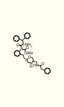 COC(=O)N(C(=O)[C@@H](N)C(c1ccccc1)c1ccccc1)c1ccccc1CC[C@@H]1CN[C@H](CNC(=O)Cc2ccccc2)CO1